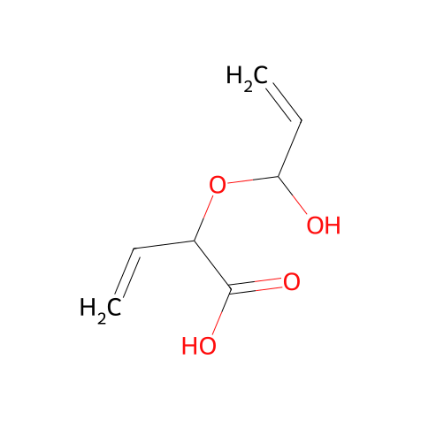 C=CC(O)OC(C=C)C(=O)O